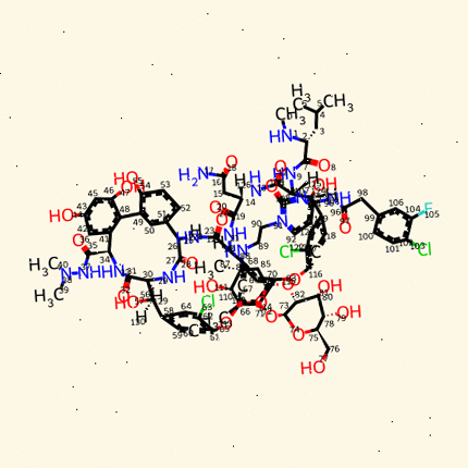 CN[C@H](CC(C)C)C(=O)N[C@H]1C(=O)N[C@@H](CC(N)=O)C(=O)N[C@H]2C(=O)N[C@H]3C(=O)N[C@H](C(=O)N[C@@H](C(=O)NN(C)C)c4cc(O)cc(O)c4-c4cc3ccc4O)[C@H](O)c3ccc(c(Cl)c3)Oc3cc2cc(c3O[C@@H]2O[C@H](CO)[C@@H](O)[C@H](O)[C@H]2O[C@H]2C[C@](C)(NCCn3ccc(NC(=O)Cc4ccc(Cl)c(F)c4)nc3=O)[C@H](O)[C@H](C)O2)Oc2ccc(cc2Cl)[C@H]1O